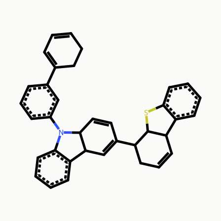 C1=CCCC(c2cccc(N3c4ccccc4C4C=C(C5CC=CC6c7ccccc7SC56)C=CC43)c2)=C1